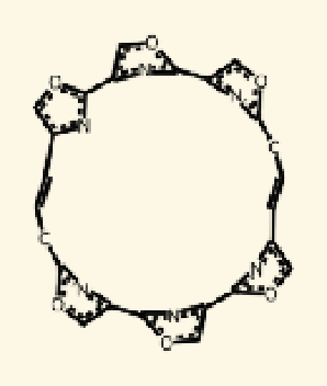 C1=C/c2coc(n2)-c2coc(n2)-c2coc(n2)C/C=C/c2coc(n2)-c2coc(n2)-c2coc(n2)C/1